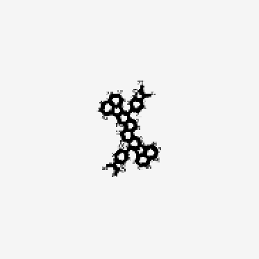 Cc1sc2cc(-c3c4c(cc5c3ccc3c6cc7c(c(-c8ccc9c(C)c(C)sc9c8)c6ccc53)-c3cccc5cccc-7c35)-c3cccc5cccc-4c35)ccc2c1C